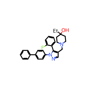 CCC1(O)CCN(Cc2cnn(-c3ccc(-c4ccccc4)cc3)c2-c2ccccc2F)CC1